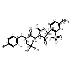 C[C@H](N(Cc1ccc(F)cc1)C(=O)CN1C(=O)N[C@]2(CS(=O)(=O)c3cc(N)ccc32)C1=O)C(F)(F)F